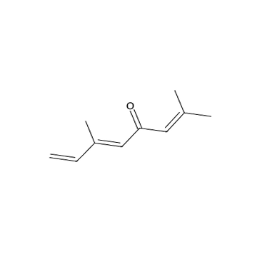 C=C/C(C)=C/C(=O)C=C(C)C